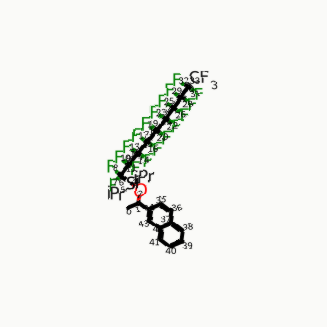 CC(O[Si](C(C)C)(C(C)C)C(F)(F)C(F)(F)C(F)(F)C(F)(F)C(F)(F)C(F)(F)C(F)(F)C(F)(F)C(F)(F)C(F)(F)F)c1ccc2ccccc2c1